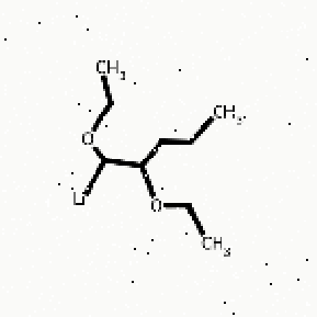 [Li][CH](OCC)C(CCC)OCC